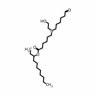 CCCCCCCCC(CC)OC(=O)CCCCCN(CCO)CCCCCC=O